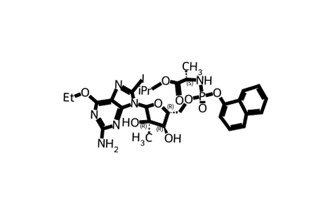 CCOc1nc(N)nc2c1nc(I)n2C1O[C@H](COP(=O)(N[C@@H](C)C(=O)OC(C)C)Oc2cccc3ccccc23)[C@@H](O)[C@@]1(C)O